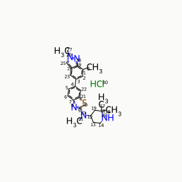 Cc1cc(-c2ccc3nc(N(C)C4CCNC(C)(C)C4)sc3c2)cc2cn(C)nc12.Cl